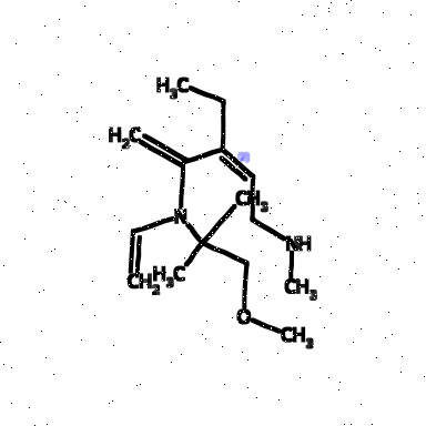 C=CN(C(=C)/C(=C\CNC)CC)C(C)(C)COC